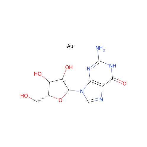 Nc1nc2c(ncn2[C@@H]2O[C@H](CO)C(O)C2O)c(=O)[nH]1.[Au]